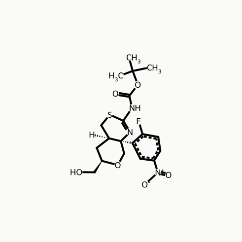 CC(C)(C)OC(=O)NC1=N[C@@]2(c3cc([N+](=O)[O-])ccc3F)CO[C@@H](CO)C[C@H]2CS1